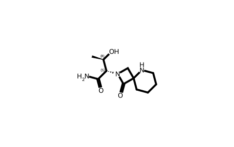 C[C@@H](O)[C@@H](C(N)=O)N1CC2(CCCCN2)C1=O